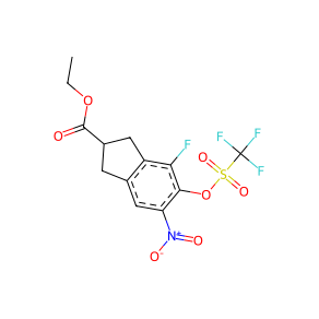 CCOC(=O)C1Cc2cc([N+](=O)[O-])c(OS(=O)(=O)C(F)(F)F)c(F)c2C1